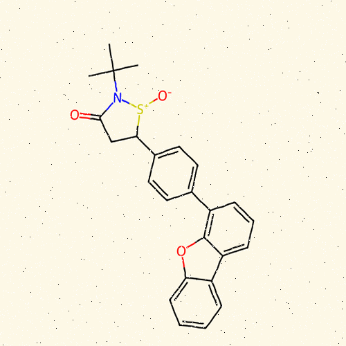 CC(C)(C)N1C(=O)CC(c2ccc(-c3cccc4c3oc3ccccc34)cc2)[S+]1[O-]